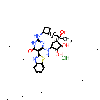 CC(C)(O)[C@H]1CC(Nc2nc(NC3CCC3)[nH]c(=O)c2-c2nc3ccccc3s2)[C@H](O)[C@@H]1O.Cl